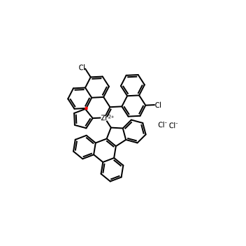 Clc1ccc([C](c2ccc(Cl)c3ccccc23)=[Zr+2]([C]2=CC=CC2)[CH]2c3ccccc3-c3c2c2ccccc2c2ccccc32)c2ccccc12.[Cl-].[Cl-]